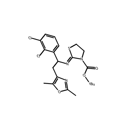 Cc1nc(CC(N=C2SCCN2C(=O)OC(C)(C)C)c2cccc(Cl)c2Cl)c(C)o1